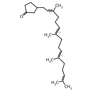 CC(C)=CCC/C(C)=C/CC/C(C)=C/CC/C(C)=C/CC1CCC(=O)C1